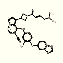 Cc1cc(Nc2c(C#N)cnn3ccc(C4CN(C(=O)C=CCN(C)C)C4)c23)ccc1Oc1ccn2ncnc2c1